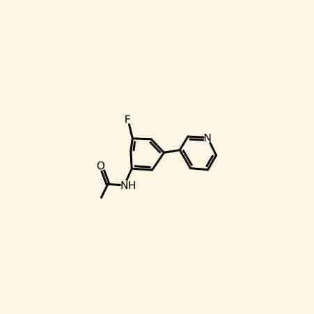 CC(=O)Nc1cc(F)cc(-c2cccnc2)c1